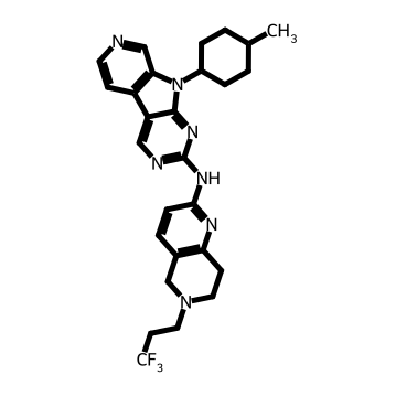 CC1CCC(n2c3cnccc3c3cnc(Nc4ccc5c(n4)CCN(CCC(F)(F)F)C5)nc32)CC1